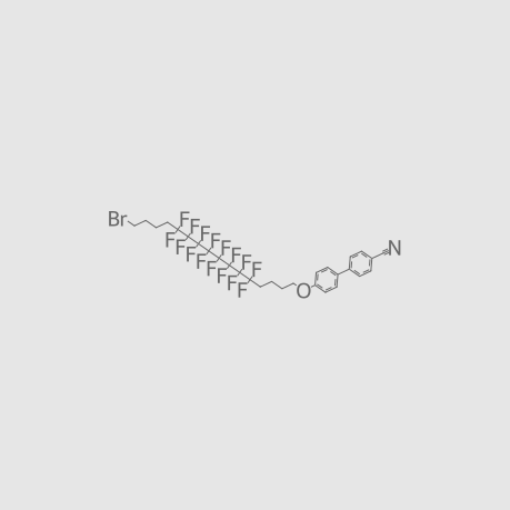 N#Cc1ccc(-c2ccc(OCCCCC(F)(F)C(F)(F)C(F)(F)C(F)(F)C(F)(F)C(F)(F)C(F)(F)C(F)(F)CCCCBr)cc2)cc1